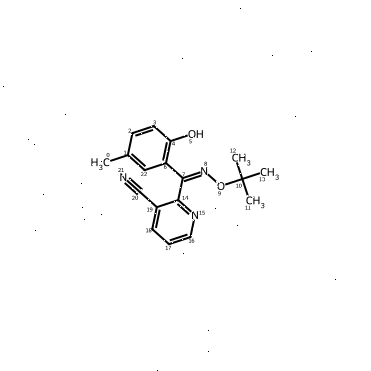 Cc1ccc(O)c(C(=NOC(C)(C)C)c2ncccc2C#N)c1